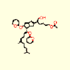 CC(=O)OCCCCC(CO)C1=CC2C[C@H](OC3CCCCO3)[C@@H](C(=CCC[C@H](C)CCC=C(C)C)OC3CCCCO3)C2C1